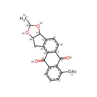 CC(=O)Oc1cccc2c1C(=O)c1ccc3c(c1C2=O)CC1OC(C)OC31